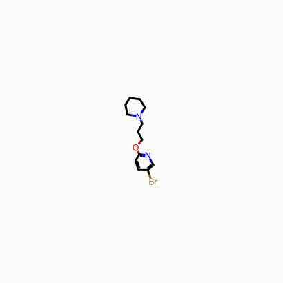 Brc1ccc(OCCCN2CCCCC2)nc1